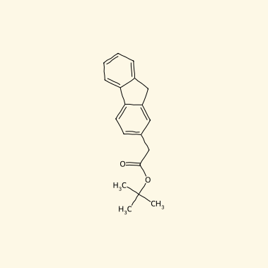 CC(C)(C)OC(=O)Cc1ccc2c(c1)Cc1ccccc1-2